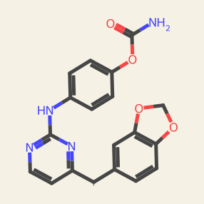 NC(=O)Oc1ccc(Nc2nccc([CH]c3ccc4c(c3)OCO4)n2)cc1